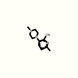 Cc1ccc(N2CCN(C)CC2)c(C#N)n1